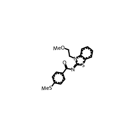 COCCn1c(=NC(=O)c2ccc(SC)cc2)sc2ccccc21